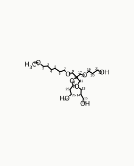 COCCCCCCOCC(COCCCO)(COCCCO)OCCCO